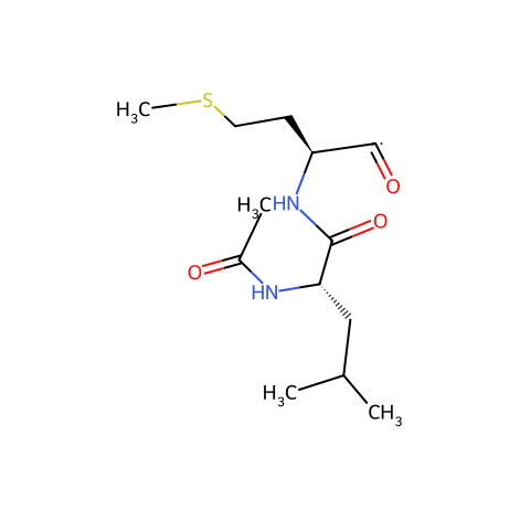 CSCC[C@@H]([C]=O)NC(=O)[C@H](CC(C)C)NC(C)=O